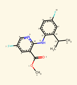 COC(=O)c1cc(F)cnc1Nc1ccc(F)cc1C(C)C